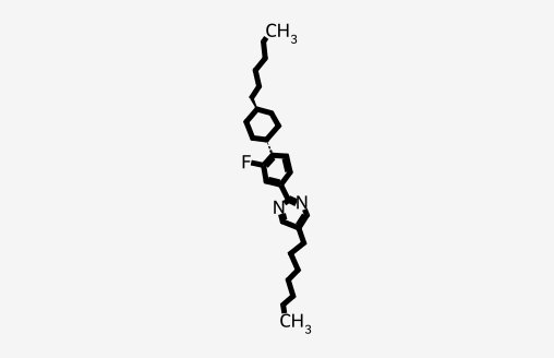 CCCCCCCc1cnc(-c2ccc([C@H]3CC[C@H](CCCCCC)CC3)c(F)c2)nc1